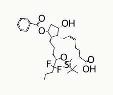 CCCC(F)(F)[C@@H](CCC[C@@H]1[C@@H](C/C=C\CCCC(=O)O)[C@@H](O)C[C@H]1OC(=O)c1ccccc1)O[Si](C)(C)C(C)(C)C